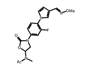 CON=Cc1ccn(-c2ccc(N3CC(N(C)C(C)=O)OC3=O)cc2F)c1